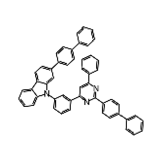 c1ccc(-c2ccc(-c3ccc4c5ccccc5n(-c5cccc(-c6cc(-c7ccccc7)nc(-c7ccc(-c8ccccc8)cc7)n6)c5)c4c3)cc2)cc1